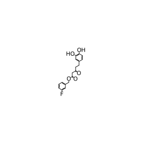 O=C(CCc1ccc(O)c(O)c1)CC(=O)OCc1cccc(F)c1